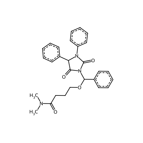 CN(C)C(=O)CCCOC(c1ccccc1)N1C(=O)C(c2ccccc2)N(c2ccccc2)C1=O